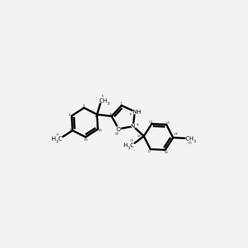 CC1=CCC(C)(C2=CNN(C3(C)C=CC(C)=CC3)O2)C=C1